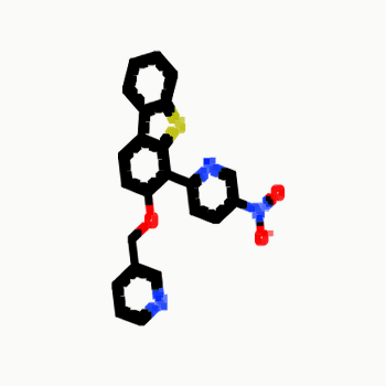 O=[N+]([O-])c1ccc(-c2c(OCc3cccnc3)ccc3c2sc2ccccc23)nc1